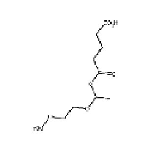 CCCCOCCOC(C)OC(=O)CCCC(=O)O